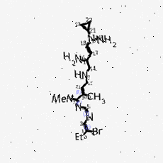 CC/C(Br)=C/N=C\N=C(NC)/C(C)=C/CNCC(N)C=CN(N)C1CC1